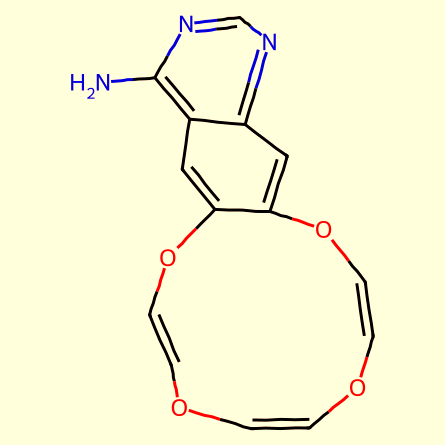 Nc1ncnc2cc3c(cc12)O/C=C\O/C=C\O/C=C\O3